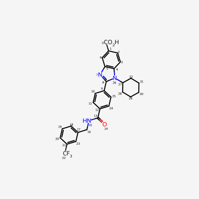 O=C(O)c1ccc2c(c1)nc(-c1ccc(C(=O)NCc3cccc(C(F)(F)F)c3)cc1)n2C1CCCCC1